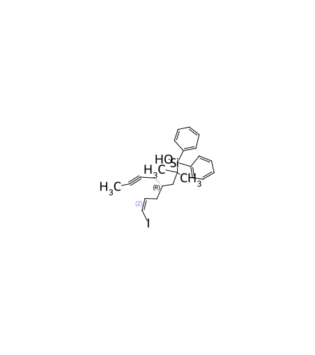 CC#CC[C@@H](C/C=C\I)CC(C)(C)[Si](O)(c1ccccc1)c1ccccc1